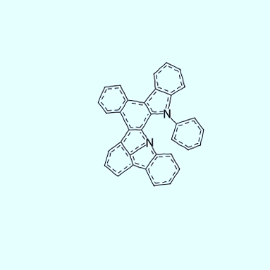 c1ccc(-n2c3ccccc3c3c4ccccc4c4c5cccc6c7ccccc7n(c65)c4c32)cc1